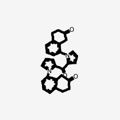 O=C1CCc2cccc(-n3cccc3C(=O)c3cccn3-c3cccc4c3CC(=O)CC4)c2C1